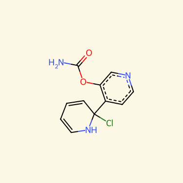 NC(=O)Oc1cnccc1C1(Cl)C=CC=CN1